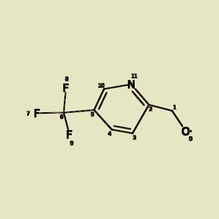 [O]Cc1ccc(C(F)(F)F)cn1